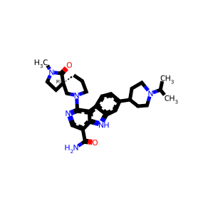 CC(C)N1CCC(c2ccc3c(c2)[nH]c2c(C(N)=O)cnc(N4CCC[C@@]5(CCN(C)C5=O)C4)c23)CC1